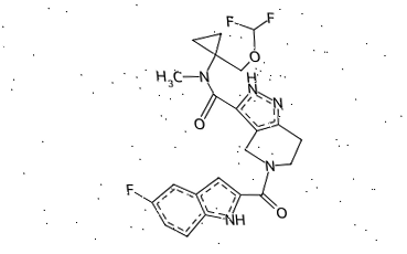 CN(C(=O)c1[nH]nc2c1CN(C(=O)c1cc3cc(F)ccc3[nH]1)CC2)C1(COC(F)F)CC1